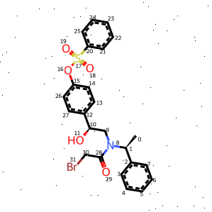 C[C@@H](c1ccccc1)N(C[C@@H](O)c1ccc(OS(=O)(=O)c2ccccc2)cc1)C(=O)CBr